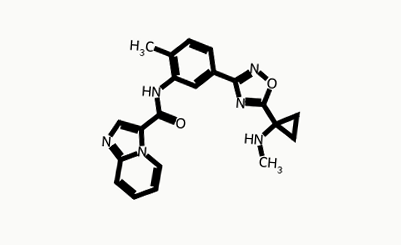 CNC1(c2nc(-c3ccc(C)c(NC(=O)c4cnc5ccccn45)c3)no2)CC1